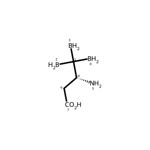 BC(B)(B)[C@H](N)CC(=O)O